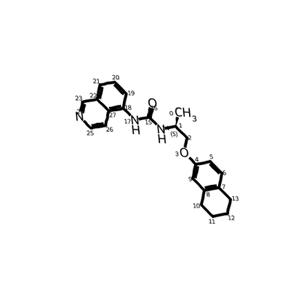 C[C@@H](COc1ccc2c(c1)CCCC2)NC(=O)Nc1cccc2cnccc12